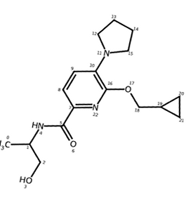 CC(CO)NC(=O)c1ccc(N2CCCC2)c(OCC2CC2)n1